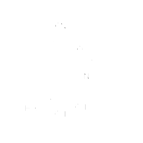 CC1=C(n2ccccc2=O)c2cc(C#N)ccc2CC1(C)C